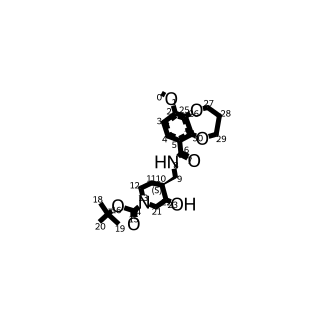 COc1ccc(C(=O)NC[C@@H]2CCN(C(=O)OC(C)(C)C)CC2O)c2c1OCCCO2